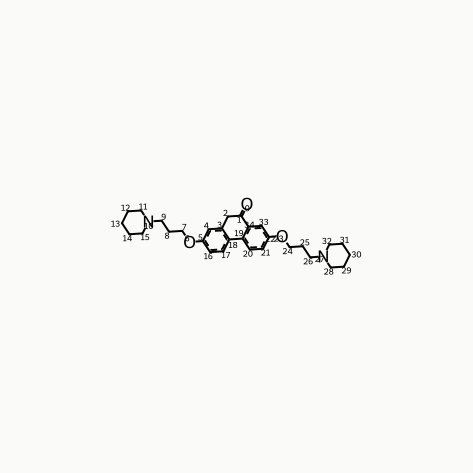 O=C1Cc2cc(OCCCN3CCCCC3)ccc2-c2ccc(OCCCN3CCCCC3)cc21